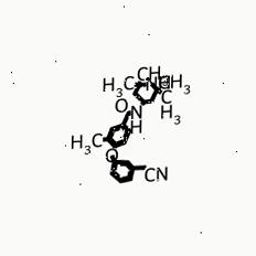 Cc1cc(C(=O)NC2CC(C)(C)NC(C)(C)C2)ccc1Oc1cccc(CC#N)c1